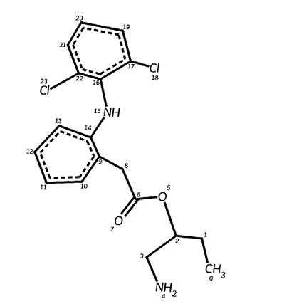 CCC(CN)OC(=O)Cc1ccccc1Nc1c(Cl)cccc1Cl